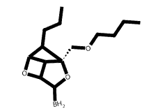 BC1O[C@]2(COCCCC)C(CCC)C3OC1C32